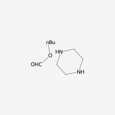 C1CNCCN1.CCCCOC=O